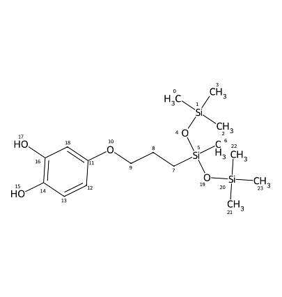 C[Si](C)(C)O[Si](C)(CCCOc1ccc(O)c(O)c1)O[Si](C)(C)C